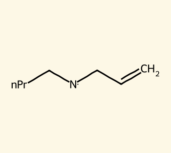 C=CC[N]CCCC